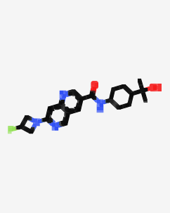 CC(C)(O)C1CCC(NC(=O)c2cnc3cc(N4CC(F)C4)ncc3c2)CC1